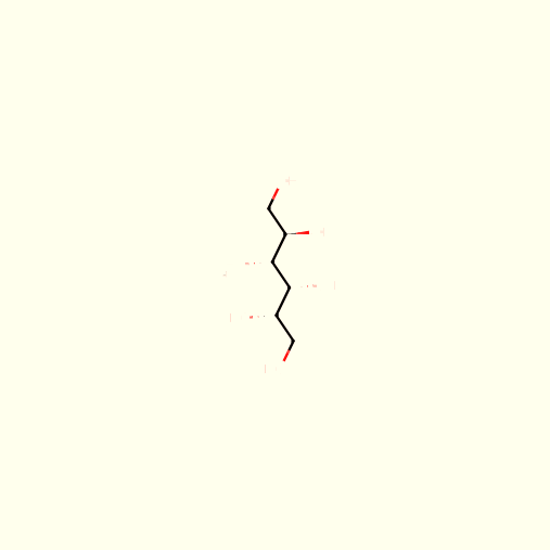 OC[C@@H](O)[C@@H](O)[C@H](O)[C@@H](O)CO.[Sn]